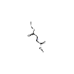 CCOC(=O)/C=C/C(=O)OC